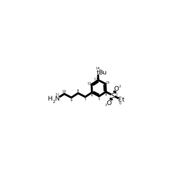 CCS(=O)(=O)c1cc(CCCCN)cc(C(C)(C)C)c1